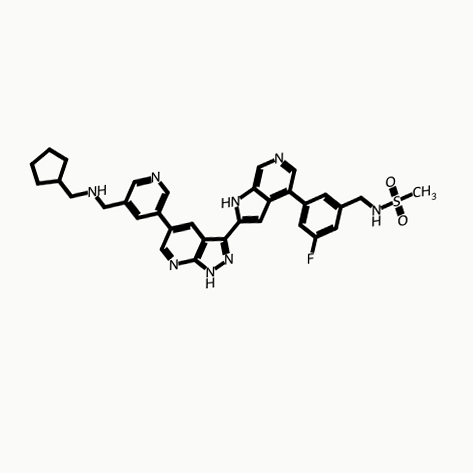 CS(=O)(=O)NCc1cc(F)cc(-c2cncc3[nH]c(-c4n[nH]c5ncc(-c6cncc(CNCC7CCCC7)c6)cc45)cc23)c1